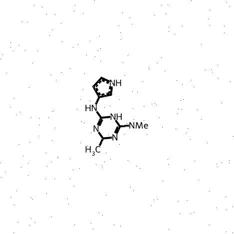 CNC1=NC(C)N=C(Nc2cc[nH]c2)N1